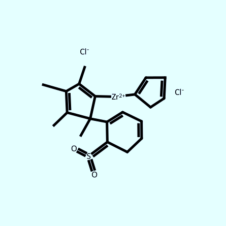 CC1=C(C)C(C)(C2=CC=CCC2=S(=O)=O)[C]([Zr+2][C]2=CC=CC2)=C1C.[Cl-].[Cl-]